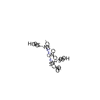 Cc1ccc2c(c1)N(CCCSOOO)/C(=C/C=C1\CCC(/C=C/c3sc4ccc([N+](=O)[O-])cc4[n+]3CCCSOOO)=C1N(c1ccccc1)c1ccccc1)S2